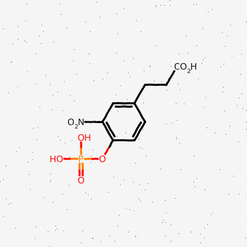 O=C(O)CCc1ccc(OP(=O)(O)O)c([N+](=O)[O-])c1